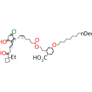 CCCCCCCCCCCCCCCCCCOc1ccc(C(=O)O)c(CCOC(=O)CCC/C=C\C[C@@H]2[C@@H](/C=C/C[C@H](O)C3(CC)CCC3)[C@H](O)C[C@H]2Cl)c1